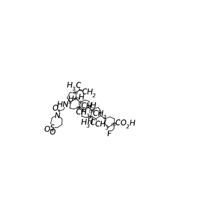 C=C(C)[C@@H]1CC[C@]2(NCC(=O)N3CCCS(=O)(=O)CC3)CC[C@]3(C)[C@H](CC[C@@H]4[C@@]5(C)CC=C(C6=CC[C@](CF)(C(=O)O)CC6)C(C)(C)[C@@H]5CC[C@]43C)[C@@H]12